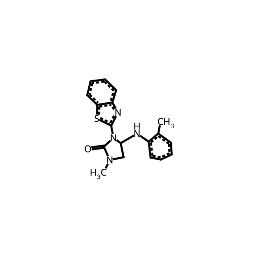 Cc1ccccc1NC1CN(C)C(=O)N1c1nc2ccccc2s1